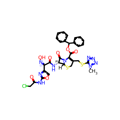 Cn1nnnc1SCC1=C(C(=O)OC(c2ccccc2)c2ccccc2)N2C(=O)[C@@H](NC(=O)/C(=N\O)c3coc(NC(=O)CCl)n3)[C@H]2SC1